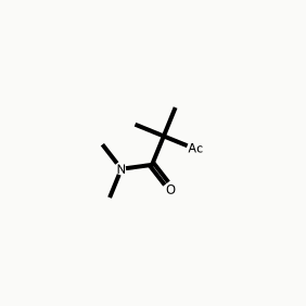 CC(=O)C(C)(C)C(=O)N(C)C